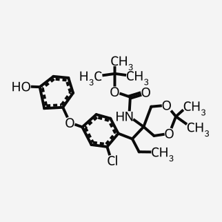 CCC(c1ccc(Oc2cccc(O)c2)cc1Cl)C1(NC(=O)OC(C)(C)C)COC(C)(C)OC1